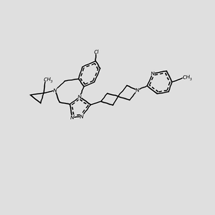 Cc1ccc(N2CC3(CC(c4nnc5n4-c4ccc(Cl)cc4CN(C4(C)CC4)C5)C3)C2)nc1